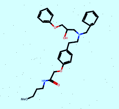 COCCCNC(=O)COc1ccc(CCN(Cc2ccccc2)CC(O)COc2ccccc2)cc1